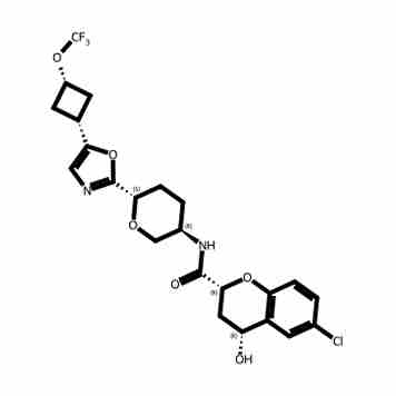 O=C(N[C@@H]1CC[C@@H](c2ncc([C@H]3C[C@@H](OC(F)(F)F)C3)o2)OC1)[C@H]1C[C@@H](O)c2cc(Cl)ccc2O1